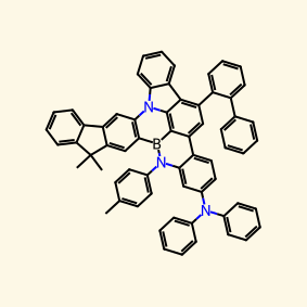 Cc1ccc(N2B3c4cc5c(cc4-n4c6ccccc6c6c(-c7ccccc7-c7ccccc7)cc(c3c64)-c3ccc(N(c4ccccc4)c4ccccc4)cc32)-c2ccccc2C5(C)C)cc1